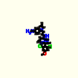 COc1cc(Cl)c(-c2c(C)nn3c(NCCN(CC(C)C)C4CCC(N)CC4)cc(C)nc23)c(Cl)c1